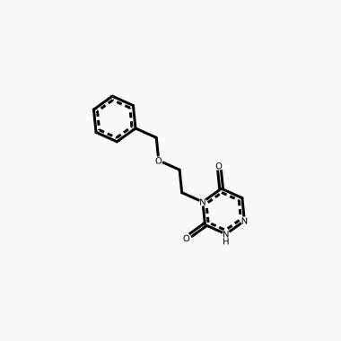 O=c1cn[nH]c(=O)n1CCOCc1ccccc1